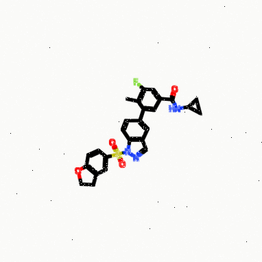 Cc1c(F)cc(C(=O)NC2CC2)cc1-c1ccc2c(cnn2S(=O)(=O)c2ccc3c(c2)CCO3)c1